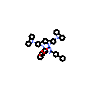 c1ccc(-c2ccc(-c3nc(-c4ccccc4)nc(-n4c5ccc(-n6c7ccccc7c7ccccc76)cc5c5ccc6c7cc(-n8c9ccccc9c9ccccc98)ccc7n(-c7cccc(-c8ccccc8)c7)c6c54)n3)cc2)cc1